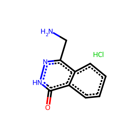 Cl.NCc1n[nH]c(=O)c2ccccc12